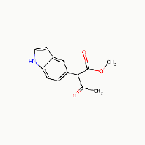 COC(=O)C(C(C)=O)c1ccc2[nH]ccc2c1